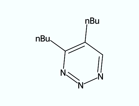 CCCCc1cnnnc1CCCC